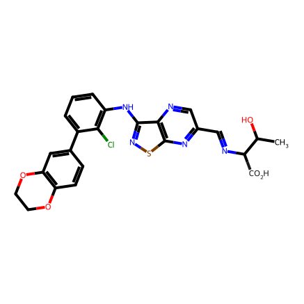 CC(O)C(N=Cc1cnc2c(Nc3cccc(-c4ccc5c(c4)OCCO5)c3Cl)nsc2n1)C(=O)O